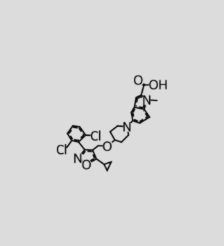 Cn1c(C(=O)O)cc2cc(N3CCC(OCc4c(-c5c(Cl)cccc5Cl)noc4C4CC4)CC3)ccc21